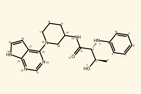 C[C@@H](O)[C@@H](Nc1ccccc1)C(=O)NC1CCCN(c2ncnc3[nH]ccc23)C1